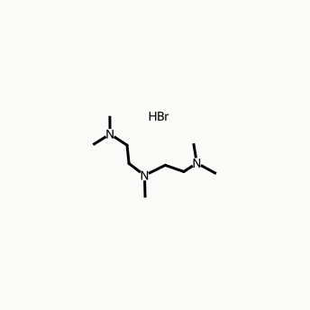 Br.CN(C)CCN(C)CCN(C)C